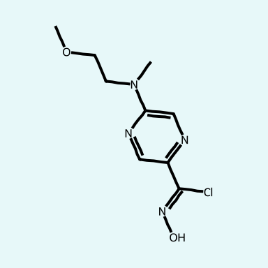 COCCN(C)c1cnc(C(Cl)=NO)cn1